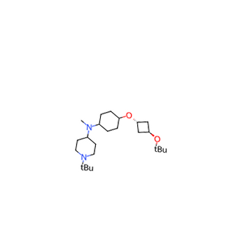 CN(C1CCC(O[C@H]2C[C@H](OC(C)(C)C)C2)CC1)C1CCN(C(C)(C)C)CC1